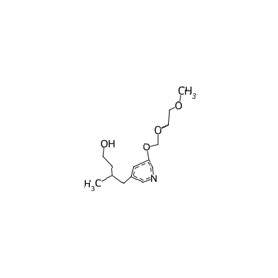 COCCOCOc1cncc(CC(C)CCO)c1